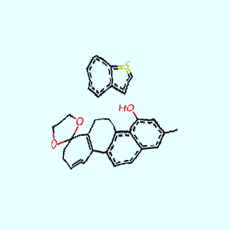 Cc1cc(O)c2c3c(ccc2c1)C1=C(CC3)C2(CC=C1)OCCO2.c1ccc2sccc2c1